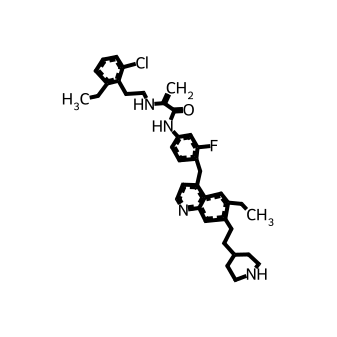 C=C(NCCc1c(Cl)cccc1CC)C(=O)Nc1ccc(Cc2ccnc3cc(CCC4CCNCC4)c(CC)cc23)c(F)c1